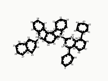 c1ccc(-c2nc(-n3c4ccccc4c4c5c6ccccc6n(-c6ccc7ccccc7c6)c5ccc43)nc3c(-c4ccccc4)cccc23)cc1